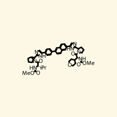 COC(=O)N[C@H](C(=O)N1C2CCC(C2)C1c1ncc(-c2ccc(-c3ccc4cc(-c5cnc(C6CCCN6C(=O)[C@@H](NC(=O)OC)C6CCOCC6)[nH]5)ccc4c3)cc2)[nH]1)C(C)C